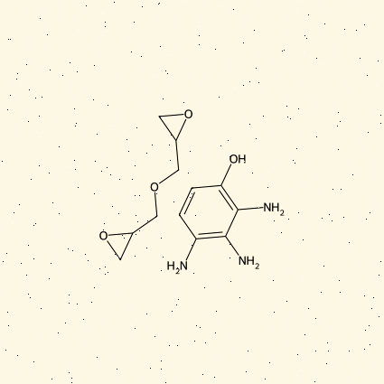 C(OCC1CO1)C1CO1.Nc1ccc(O)c(N)c1N